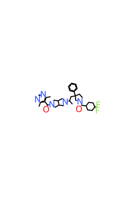 Cc1ncnc(C)c1C(=O)N1CC2CN(C(C)CC3(c4ccccc4)CCN(C(=O)C4CCC(F)(F)CC4)C3)CC2C1